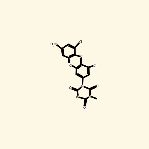 Cc1cc([N+](=O)[O-])cc(Cl)c1Sc1c(Cl)cc(-n2c(=O)[nH]c(=O)n(C)c2=O)cc1Cl